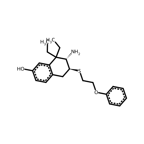 CCC1(CC)c2cc(O)ccc2C[C@H](SCCOc2ccccc2)[C@H]1N